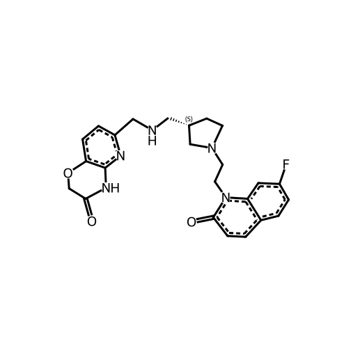 O=C1COc2ccc(CNC[C@@H]3CCN(CCn4c(=O)ccc5ccc(F)cc54)C3)nc2N1